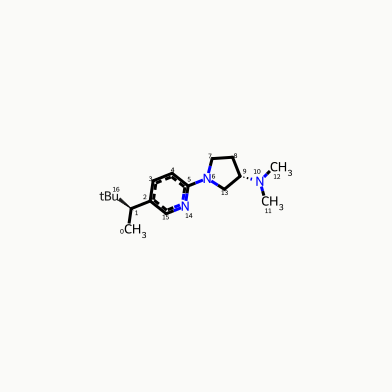 C[C@H](c1ccc(N2CC[C@H](N(C)C)C2)nc1)C(C)(C)C